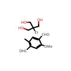 CCC(CO)(CO)CO.COc1cc(C=O)c(C)cc1C=O